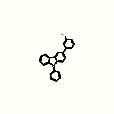 CCc1cccc(-c2ccc3c(c2)c2ccccc2n3-c2ccccc2)c1